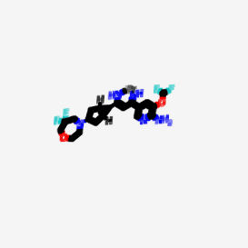 CC(C)N/C(=C\C(=N)c1cnc(N)c(OC(F)F)c1)[C@H]1[C@@H]2C[C@H](N3CCOCC(F)(F)C3)C[C@@H]21